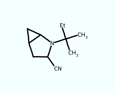 CCC(C)(C)N1C(C#N)CC2CC21